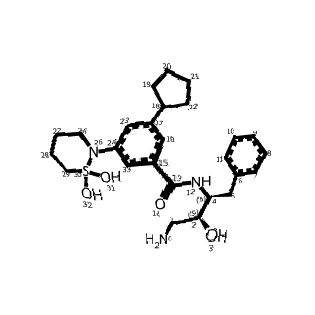 NC[C@H](O)[C@H](Cc1ccccc1)NC(=O)c1cc(C2CCCC2)cc(N2CCCCS2(O)O)c1